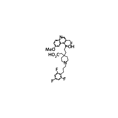 COc1ccc2ncc(CF)c([C@H](O)CCC3(CC(=O)O)CCN(CCCc4c(F)cc(F)cc4F)CC3)c2c1